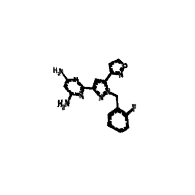 Nc1cc(N)nc(-c2cc(-c3ccon3)n(Cc3ccccc3F)n2)n1